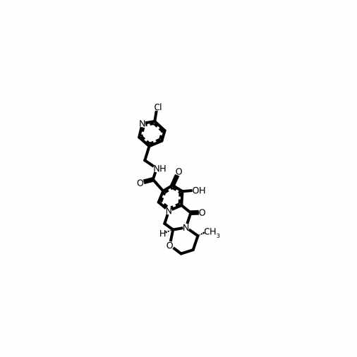 C[C@@H]1CCO[C@H]2Cn3cc(C(=O)NCc4ccc(Cl)nc4)c(=O)c(O)c3C(=O)N12